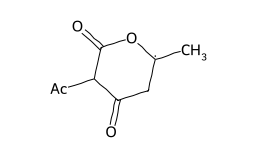 C[C]1CC(=O)C(C(C)=O)C(=O)O1